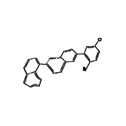 Clc1ccc(Br)c(-c2ccc3cc(-c4cccc5ccccc45)ccc3c2)c1